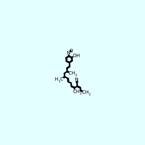 C=C/C=C(C#N)\C(C)=C/C/C=C/C(=C)CC(=C)/C=C/c1ccc(N=O)c(O)c1